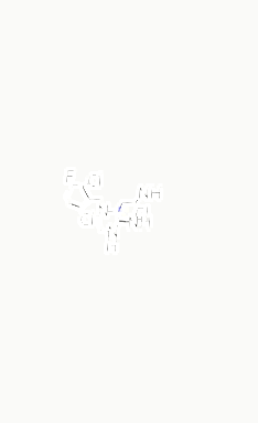 N=C(Cl)/C=C1\C(=N)NCCN1CC1=C(Cl)C(F)CC=C1Cl